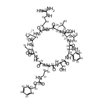 CC[C@H](C)[C@@H]1NC(=O)[C@@H](CCCNC(=N)N)NC(=O)[C@H](CC(C)C)NC(=O)[C@H]([C@H](O)C(C)C)NC(=O)[C@@H](N)[C@@H](c2ccccc2)NC(=O)C(CO)NC(=O)[C@H](CCCNC(=O)OCc2ccccc2)NC(=O)CNC(=O)[C@H]([C@H](C)O)NC1=O